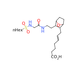 CCCCCCS(=O)(=O)NCC(=O)NCCC1C2CCC(O2)C1C/C=C/CCCC(=O)O